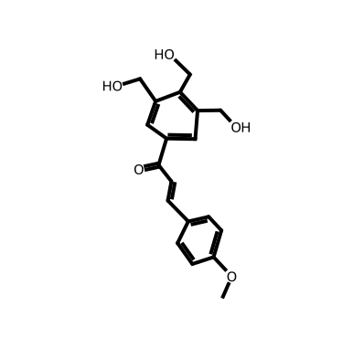 COc1ccc(/C=C/C(=O)c2cc(CO)c(CO)c(CO)c2)cc1